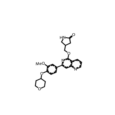 COc1cc(-c2cc3ncccc3c(OCC3CNC(=O)C3)n2)ccc1OC1CCOCC1